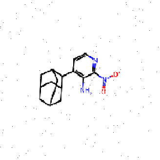 Nc1c(C2C3CC4CC(C3)CC2C4)ccnc1[N+](=O)[O-]